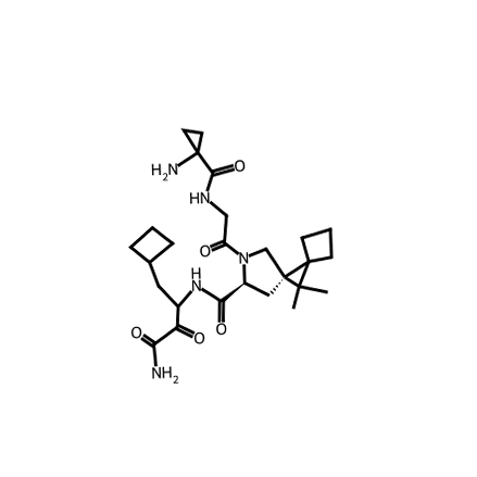 CC1(C)C2(CCC2)[C@@]12C[C@@H](C(=O)NC(CC1CCC1)C(=O)C(N)=O)N(C(=O)CNC(=O)C1(N)CC1)C2